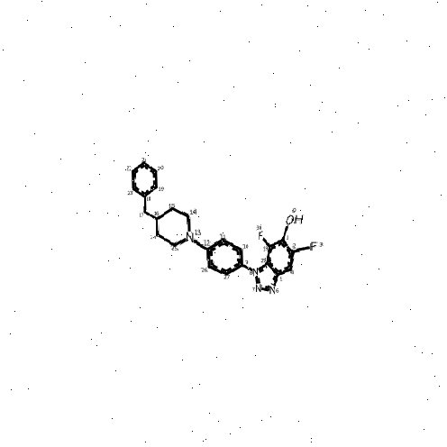 Oc1c(F)cc2nnn(-c3ccc(N4CCC(Cc5ccccc5)CC4)cc3)c2c1F